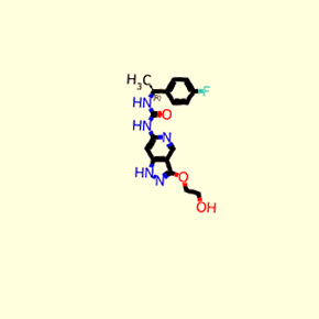 C[C@@H](NC(=O)Nc1cc2[nH]nc(OCCO)c2cn1)c1ccc(F)cc1